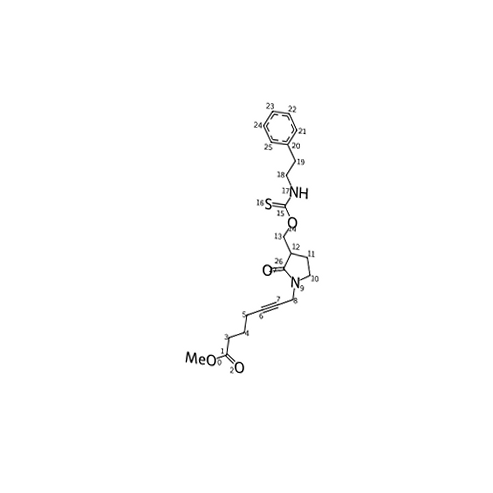 COC(=O)CCCC#CCN1CCC(COC(=S)NCCc2ccccc2)C1=O